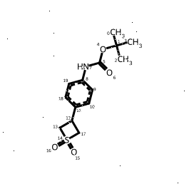 CC(C)(C)OC(=O)Nc1ccc(C2CS(=O)(=O)C2)cc1